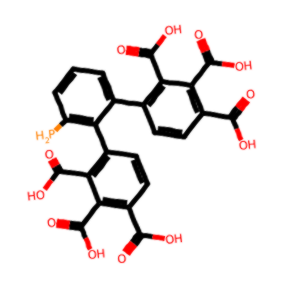 O=C(O)c1ccc(-c2cccc(P)c2-c2ccc(C(=O)O)c(C(=O)O)c2C(=O)O)c(C(=O)O)c1C(=O)O